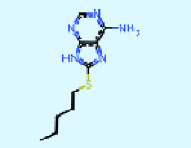 CCCCCSc1nc2c(N)ncnc2[nH]1